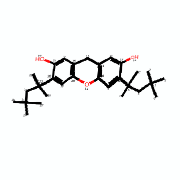 CC(C)(C)CC(C)(C)c1cc2c(cc1O)Cc1cc(O)c(C(C)(C)CC(C)(C)C)cc1O2